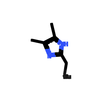 Cc1nc(CC(C)(C)C)[nH]c1C